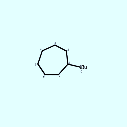 CCC(C)C1[CH]CCCCC1